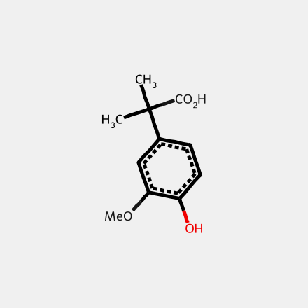 COc1cc(C(C)(C)C(=O)O)ccc1O